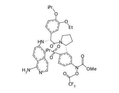 CCOc1cc([C@@H](Nc2ccc3c(N)nccc3c2)C(=O)N2CCC[C@@H]2c2cc(N(OC(=O)C(F)(F)F)C(=O)OC)ccc2S(=O)(=O)C(C)C)ccc1OC(C)C